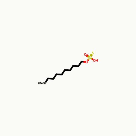 CCCCCCCCCCCCCCCCCCOS(=O)(O)=S